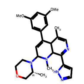 COc1cc(OC)cc(C2=CC(N3CCOC[C@H]3C)N(C)C3C(c4ccn[nH]4)=NC=C(C)C23)c1